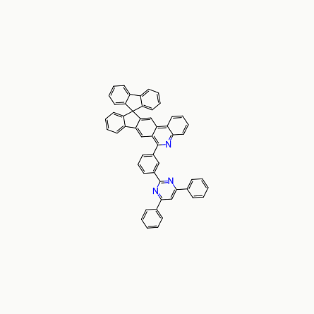 c1ccc(-c2cc(-c3ccccc3)nc(-c3cccc(-c4nc5ccccc5c5cc6c(cc45)-c4ccccc4C64c5ccccc5-c5ccccc54)c3)n2)cc1